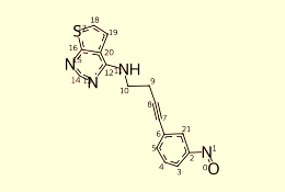 O=Nc1cccc(C#CCCNc2ncnc3sccc23)c1